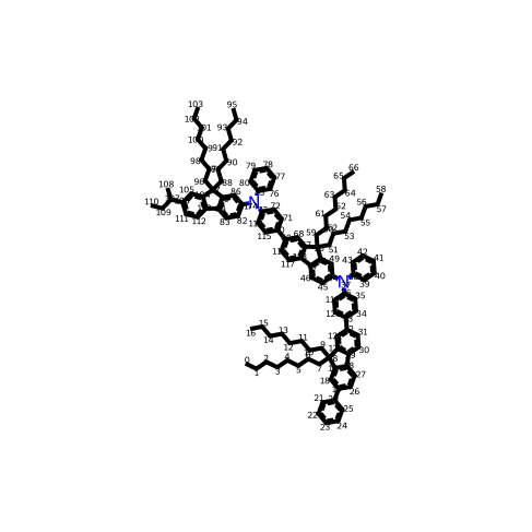 CCCCCCCCC1(CCCCCCCC)c2cc(-c3ccccc3)ccc2-c2ccc(-c3ccc(N(c4ccccc4)c4ccc5c(c4)C(CCCCCCCC)(CCCCCCCC)c4cc(-c6ccc(N(c7ccccc7)c7ccc8c(c7)C(CCCCCCCC)(CCCCCCCC)c7cc(C(C)CC)ccc7-8)cc6)ccc4-5)cc3)cc21